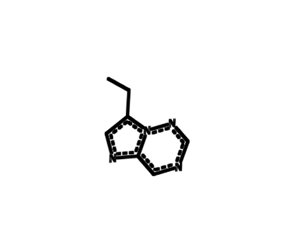 CCc1cnc2cncnn12